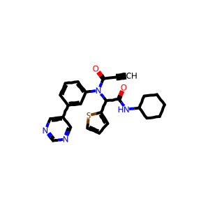 C#CC(=O)N(c1cccc(-c2cncnc2)c1)C(C(=O)NC1CCCCC1)c1cccs1